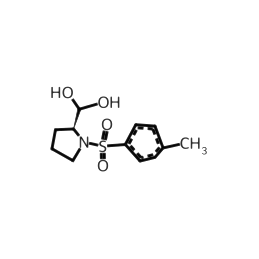 Cc1ccc(S(=O)(=O)N2CCC[C@H]2C(O)O)cc1